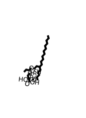 CCCCCCCCCCCCC(CCCCC)CC(S)OC(CC)OCC(O)([PH2]=O)C(=O)O